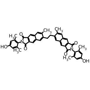 Cc1cc2cc3c(cc2cc1CCc1cc2cc4c(cc2cc1C)C(=O)N(c1c(C)cc(O)cc1C)C4=O)C(=O)N(c1c(C)cc(O)cc1C)C3=O